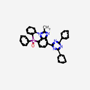 Cc1nc2c(-c3nc(-c4ccccc4)nc(-c4ccccc4)n3)ccc3c2n1-c1ccccc1P3(=O)c1ccccc1